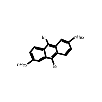 CCCCCCc1ccc2c(Br)c3cc(CCCCCC)ccc3c(Br)c2c1